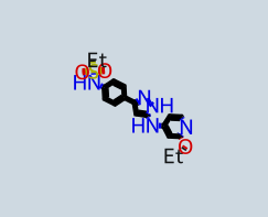 CCOc1cc(Nc2cc(-c3ccc(NS(=O)(=O)CC)cc3)n[nH]2)ccn1